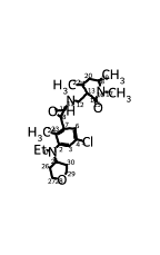 CCN(c1cc(Cl)cc(C2OC2NCC2C(=O)N(C)C(C)CC2C)c1C)C1CCOCC1